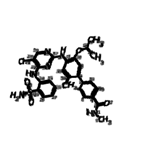 CNC(=O)c1ccc(-c2cc(OC(C)C)c(Nc3ncc(Cl)c(Nc4ccccc4S(N)(=O)=O)n3)cc2C)cc1